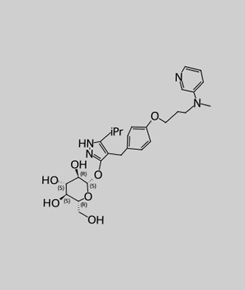 CC(C)c1[nH]nc(O[C@@H]2O[C@H](CO)[C@@H](O)[C@H](O)[C@H]2O)c1Cc1ccc(OCCCN(C)c2cccnc2)cc1